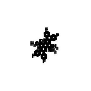 CNC(C)=c1c2nc(-c3ccc(F)cc3)c(-c3ccc(F)cc3)nc2c(=C(N)N)c2nc(-c3ccc(F)cc3)c(-c3ccc(F)cc3)nc12